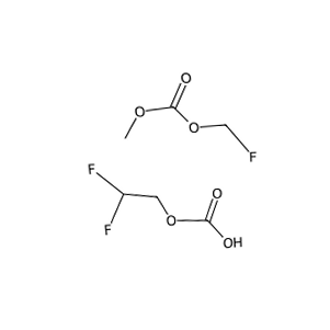 COC(=O)OCF.O=C(O)OCC(F)F